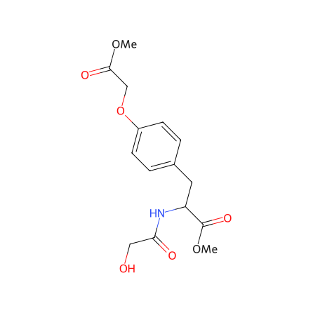 COC(=O)COc1ccc(CC(NC(=O)CO)C(=O)OC)cc1